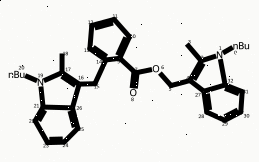 CCCCn1c(C)c(COC(=O)c2ccccc2Cc2c(C)n(CCCC)c3ccccc23)c2ccccc21